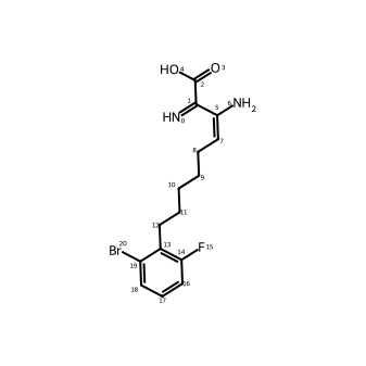 N=C(C(=O)O)/C(N)=C\CCCCCc1c(F)cccc1Br